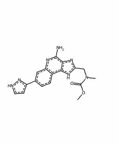 COC(=O)N(C)Cc1nc2c(N)nc3cc(-c4cc[nH]n4)ccc3c2[nH]1